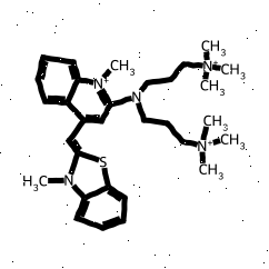 CN1/C(=C/c2cc(N(CCC[N+](C)(C)C)CCC[N+](C)(C)C)[n+](C)c3ccccc23)Sc2ccccc21